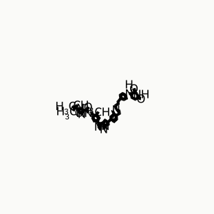 Cc1cc(-c2ncnn3cc(-c4ccc5c(c4)CN(CCCc4ccc(NC6CCC(=O)NC6=O)cc4)CC5)cc23)ccc1CNC(=O)c1noc(C(C)(C)C)n1